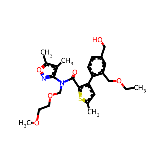 CCOCc1cc(CO)ccc1-c1cc(C)sc1C(=O)N(COCCOC)c1noc(C)c1C